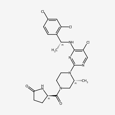 C[C@@H]1CN(C(=O)[C@H]2CCC(=O)N2)CCN1c1ncc(Cl)c(N[C@H](C)c2ccc(Cl)cc2Cl)n1